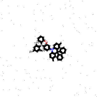 Cc1ccc2c(c1)C(c1ccccc1)(c1ccccc1)c1cc(C)ccc1N2c1ccc2c(c1)Oc1ccccc1B2c1c(C(C)C)cc(C(C)C)cc1C(C)C